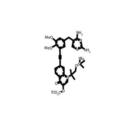 CCOC(=O)Oc1cn(C(C)(C)CO[Si](C)(C)C(C)(C)C)c2cc(C#Cc3cc(Cc4cnc(N)nc4N)cc(OC)c3OC)ccc2c1=O